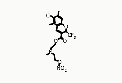 Cc1cc2c(c(C)c1Cl)C=C(C(=O)OCCN(C)CCO[N+](=O)[O-])[C@@H](C(F)(F)F)O2